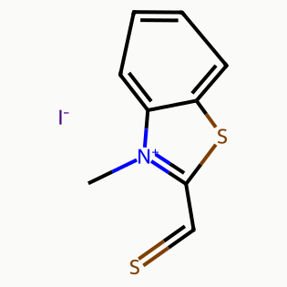 C[n+]1c(C=S)sc2ccccc21.[I-]